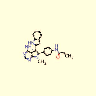 C=CC(=O)Nc1ccc(-c2c(-c3cc4ccccc4[nH]3)c3c(N)ncnc3n2C)cc1